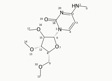 CNc1ccn([C@@H]2O[C@H](COC)[C@H](OC)C2OC)c(=O)n1